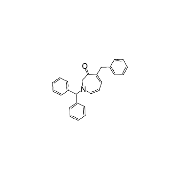 O=C1CN(C(c2ccccc2)c2ccccc2)C=CC=C1Cc1ccccc1